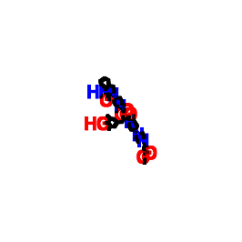 CCOC(=O)CCN1CCN(C2CCN(C(=O)C(Cc3cc(C)c(O)c(C)c3)OC(=O)N3CCC(N4CCc5ccccc5NC4=O)CC3)CC2)CC1